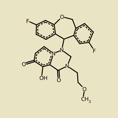 COCCN1CN(C2c3cc(F)ccc3COc3cc(F)ccc32)n2ccc(=O)c(O)c2C1=O